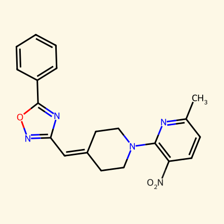 Cc1ccc([N+](=O)[O-])c(N2CCC(=Cc3noc(-c4ccccc4)n3)CC2)n1